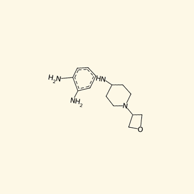 Nc1ccc(NC2CCN(C3COC3)CC2)cc1N